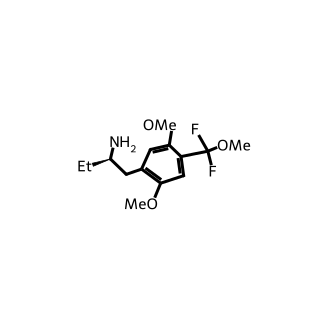 CC[C@@H](N)Cc1cc(OC)c(C(F)(F)OC)cc1OC